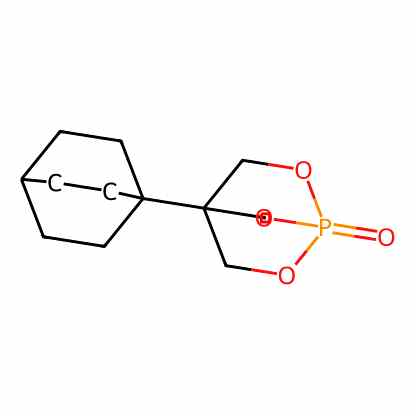 O=P12OCC(C34CCC(CC3)CC4)(CO1)CO2